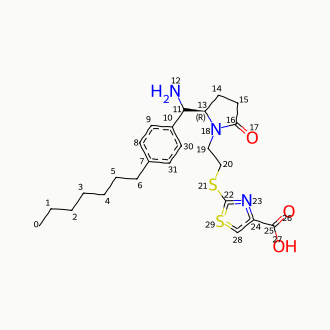 CCCCCCCc1ccc(C(N)[C@H]2CCC(=O)N2CCSc2nc(C(=O)O)cs2)cc1